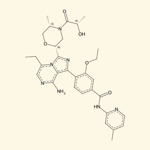 CCOc1cc(C(=O)Nc2cc(C)ccn2)ccc1-c1nc([C@H]2CN(C(=O)[C@H](C)O)[C@@H](C)CO2)n2c(CC)cnc(N)c12